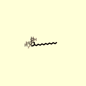 CCCCCCCCCCCCC(CN)C[SiH](O)O